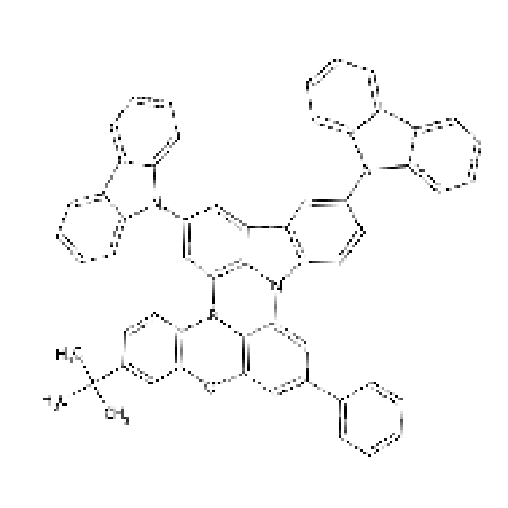 CC(C)(C)c1ccc2c(c1)Oc1cc(-c3ccccc3)cc3c1B2c1cc(-n2c4ccccc4c4ccccc42)cc2c4cc(-n5c6ccccc6c6ccccc65)ccc4n-3c12